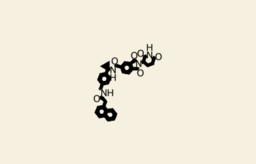 O=C(Cc1cccc2ccccc12)NCc1ccc(C2(NC(=O)c3ccc4c(c3)C(=O)N(C3CCC(=O)NC3=O)C4=O)CC2)cc1